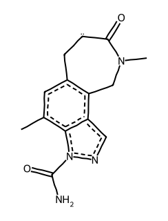 Cc1cc2c(c3cnn(C(N)=O)c13)CN(C)C(=O)[C]C2